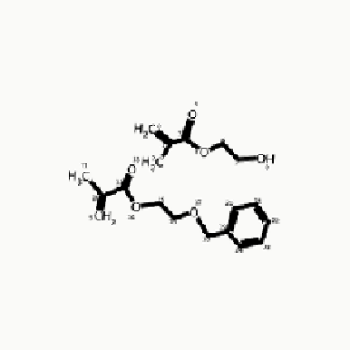 C=C(C)C(=O)OCCO.C=C(C)C(=O)OCCOCc1ccccc1